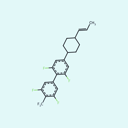 C/C=C/C1CCC(c2cc(F)c(-c3cc(F)c(C(F)(F)F)c(F)c3)c(F)c2)CC1